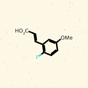 COc1ccc(F)c(C=CC(=O)O)c1